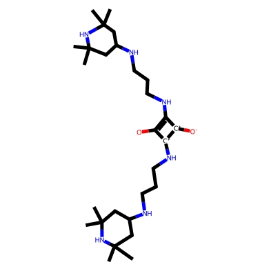 CC1(C)CC(NCCCNc2c([O-])[c+](NCCCNC3CC(C)(C)NC(C)(C)C3)[c+]2[O-])CC(C)(C)N1